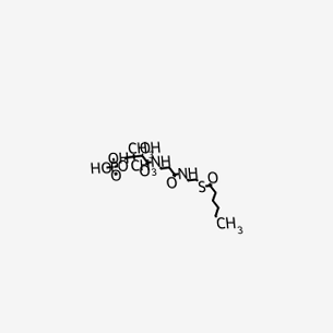 CCCCCC(=O)SCCNC(=O)CCNC(=O)[C@@H](O)C(C)(C)COP(=O)(O)O